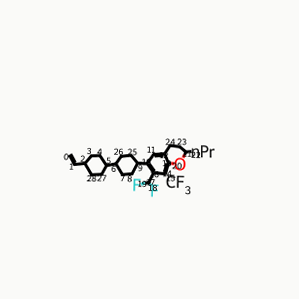 C=CC1CCC(C2CCC(c3cc4c(c(C(F)(F)F)c3C(F)F)OC(CCC)CC4)CC2)CC1